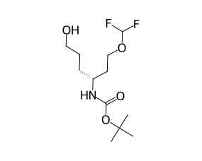 CC(C)(C)OC(=O)N[C@H](CCCO)CCOC(F)F